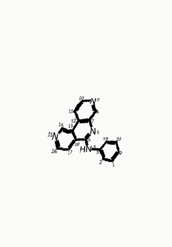 c1ccc(Nc2nc3cnccc3c3cnccc23)cc1